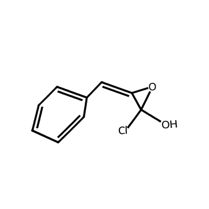 OC1(Cl)OC1=Cc1ccccc1